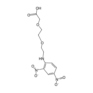 O=C(O)COCCOCCNc1ccc([N+](=O)[O-])cc1[N+](=O)[O-]